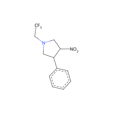 O=[N+]([O-])C1CN(CC(F)(F)F)CC1c1ccccc1